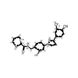 N#Cc1ccc(-c2ccn(-c3ccc(CNC(=O)c4ccccn4)c(F)c3)n2)cc1C(F)(F)F